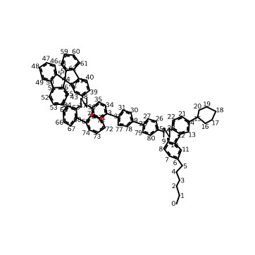 CCCCCCc1ccc2c(c1)c1cc(C3CCCCC3)ccc1n2-c1ccc(-c2ccc(-c3ccc(N(c4ccc5c(c4)C4(c6ccccc6-c6ccccc64)c4ccccc4-5)c4ccccc4-c4ccccc4)cc3)cc2)cc1